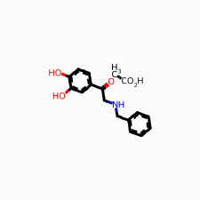 CC(=O)O.O=C(CNCc1ccccc1)c1ccc(O)c(O)c1